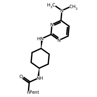 CCCCCC(=O)N[C@H]1CC[C@@H](Nc2nccc(N(C)C)n2)CC1